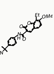 CCc1c(OC)ccc2cc(C(=O)Nc3ccc(C(C)(C)N)cc3)c(=O)oc12